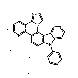 c1ccc(-n2c3ccccc3c3c2ccc2c4ncccc4c4nccn4c23)cc1